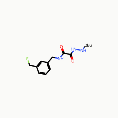 CC(C)(C)NNC(=O)C(=O)NCc1cccc(CF)c1